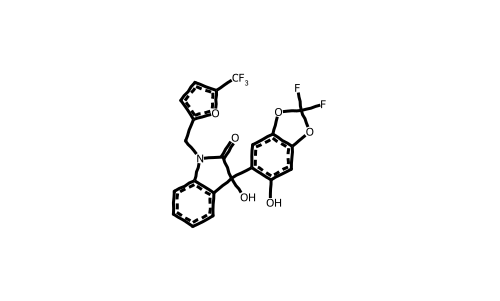 O=C1N(Cc2ccc(C(F)(F)F)o2)c2ccccc2C1(O)c1cc2c(cc1O)OC(F)(F)O2